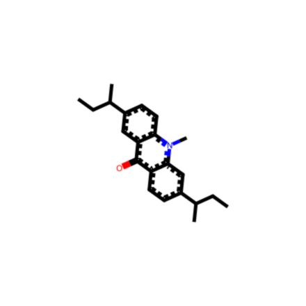 CCC(C)c1ccc2c(c1)c(=O)c1ccc(C(C)CC)cc1n2C